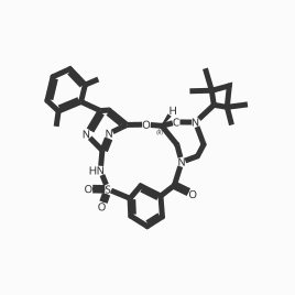 Cc1cccc(C)c1-c1cc2nc(n1)NS(=O)(=O)c1cccc(c1)C(=O)N1CCN(C3C(C)(C)CC3(C)C)C[C@H](C1)O2